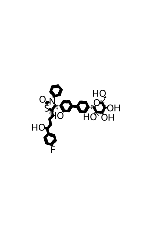 O=C1S[C@H](CCCC(O)c2ccc(F)cc2)[C@@H](c2ccc(-c3ccc([C@@H]4O[C@H](CO)[C@@H](O)[C@H](O)[C@H]4O)cc3)cc2O)N1c1ccccc1